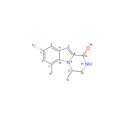 Cc1cc(F)cc2cc3n(c12)C(C)CNC3=O